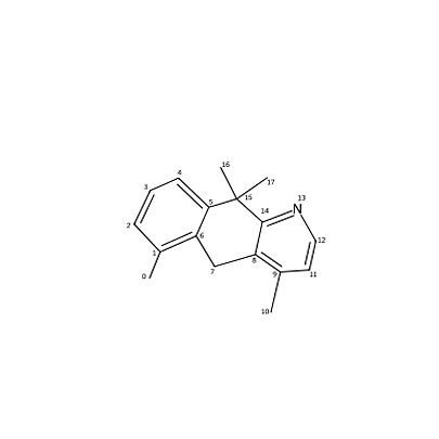 Cc1cccc2c1Cc1c(C)ccnc1C2(C)C